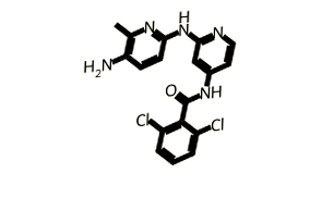 Cc1nc(Nc2cc(NC(=O)c3c(Cl)cccc3Cl)ccn2)ccc1N